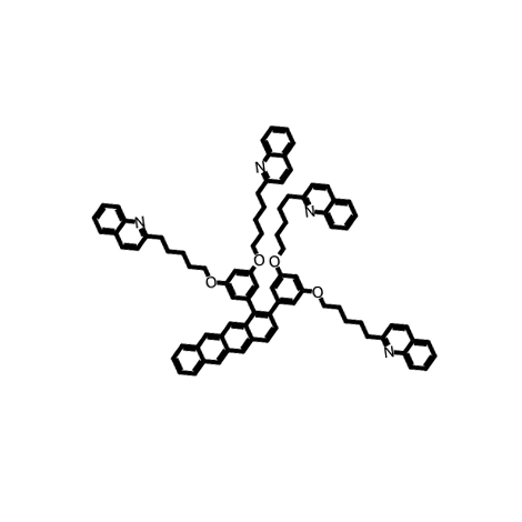 c1ccc2cc3cc4c(-c5cc(OCCCCCc6ccc7ccccc7n6)cc(OCCCCCc6ccc7ccccc7n6)c5)c(-c5cc(OCCCCCc6ccc7ccccc7n6)cc(OCCCCCc6ccc7ccccc7n6)c5)ccc4cc3cc2c1